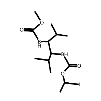 CC(I)OC(=O)BC(C(C)C)C(BC(=O)OI)C(C)C